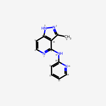 Cc1n[nH]c2ccnc(Nc3ccccn3)c12